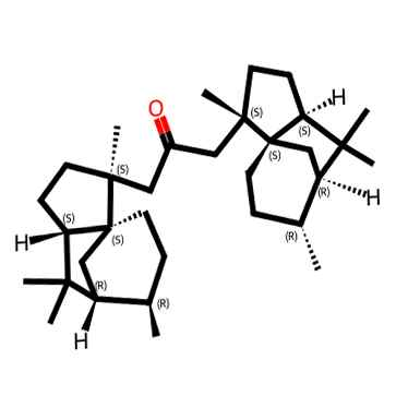 C[C@@H]1CC[C@]23C[C@H]1C(C)(C)[C@@H]2CC[C@@]3(C)CC(=O)C[C@]1(C)CC[C@H]2C(C)(C)[C@@H]3C[C@@]21CC[C@H]3C